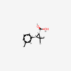 Cc1cccc([C@H]2[C@H](C(=O)O)C2(C)C)c1